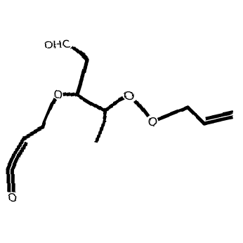 C=CCOOC(C)C(CC=O)OCC=C=O